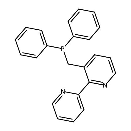 c1ccc(P(Cc2cccnc2-c2ccccn2)c2ccccc2)cc1